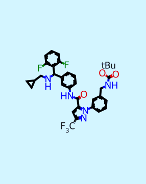 CC(C)(C)OC(=O)NCc1cccc(-n2nc(C(F)(F)F)cc2C(=O)Nc2cccc(C(NCC3CC3)c3c(F)cccc3F)c2)c1